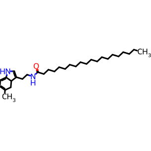 CCCCCCCCCCCCCCCCCCCC(=O)NCCC1=CNC2=CC=C(C)CC12